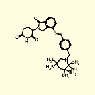 BC1(B)CN(Cc2ccc(COc3cccc4c3CN(C3CCC(=O)NC3=O)C4=O)cc2)C(B)(B)C(B)(B)O1